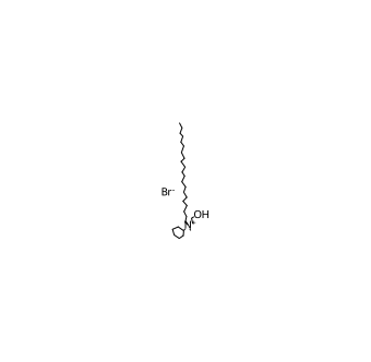 CCCCCCCCCCCCCCCCCCCCC[N+](C)(CCO)C1CCCCC1.[Br-]